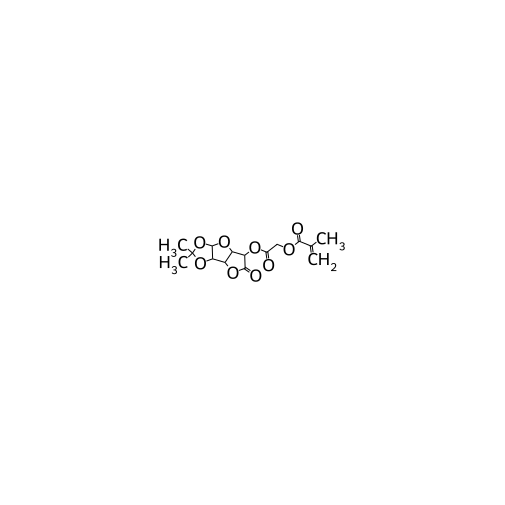 C=C(C)C(=O)OCC(=O)OC1C(=O)OC2C3OC(C)(C)OC3OC12